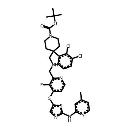 Cc1ccnc(Nc2ncc(Sc3ccnc(CNCC4(c5cccc(Cl)c5Cl)CCN(C(=O)OC(C)(C)C)CC4)c3F)s2)c1